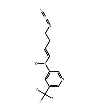 [O-][S+](C=CCCN=C=S)c1cncc(C(F)(F)F)c1